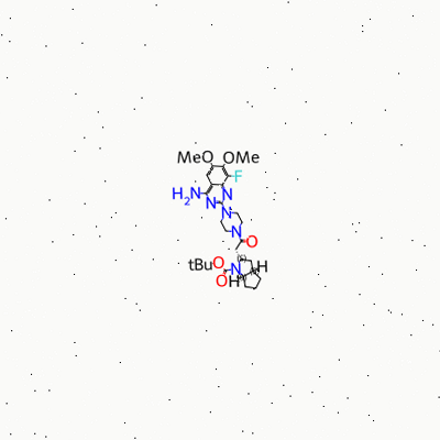 COc1cc2c(N)nc(N3CCN(C(=O)C[C@@H]4C[C@@H]5CCC[C@@H]5N4C(=O)OC(C)(C)C)CC3)nc2c(F)c1OC